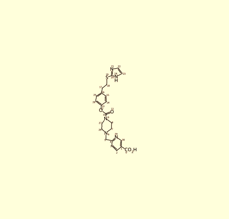 O=C(O)c1ccc(CN2CCN(C(=O)Oc3ccc(CCSc4ncc[nH]4)cc3)CC2)nc1